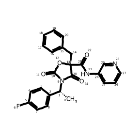 C[C@H](c1ccc(F)cc1)N1C(=O)O[C@](Cc2ccccc2)(C(=O)Nc2cccnc2)C1=O